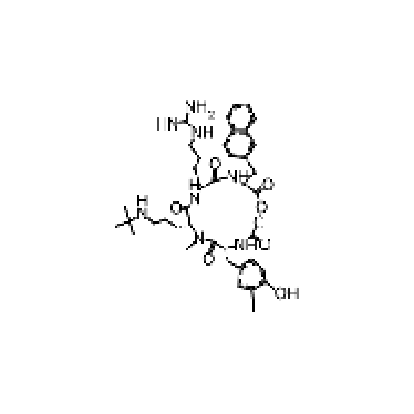 CN1C(=O)[C@@H](Cc2ccc(O)c(I)c2)NC(=O)COC(=O)[C@H](Cc2ccc3ccccc3c2)NC(=O)[C@H](CCCNC(=N)N)NC(=O)[C@H]1CCCNC(C)(C)C